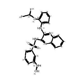 O=S(=O)(Nc1nc2ccccc2nc1Nc1ccccc1OC(F)F)c1cccc(NO)c1